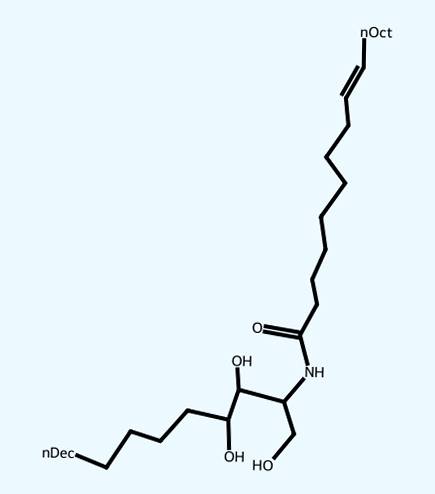 CCCCCCCCC=CCCCCCCCC(=O)NC(CO)C(O)C(O)CCCCCCCCCCCCCC